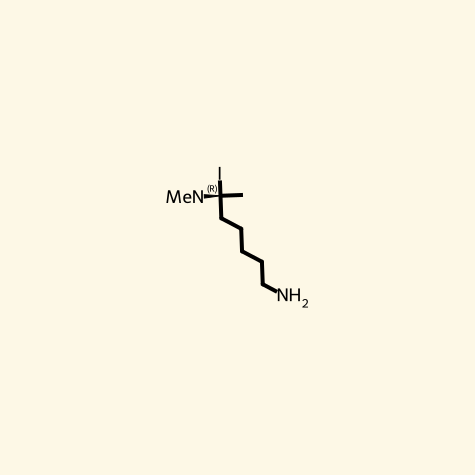 CN[C@](C)(I)CCCCCN